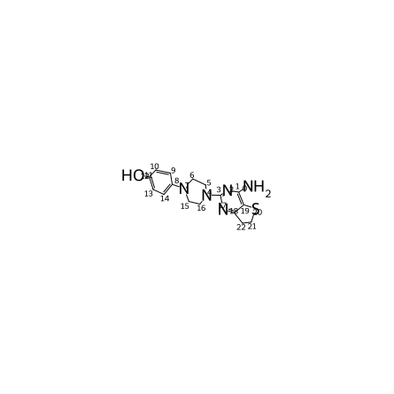 Nc1nc(N2CCN(c3ccc(O)cc3)CC2)nc2c1SCC2